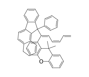 C=C/C=C\C=C(/c1cccc2c1C(C)(C)c1ccccc1O2)C1(c2ccccc2)c2ccccc2-c2ccc3c(c21)C=CCC3